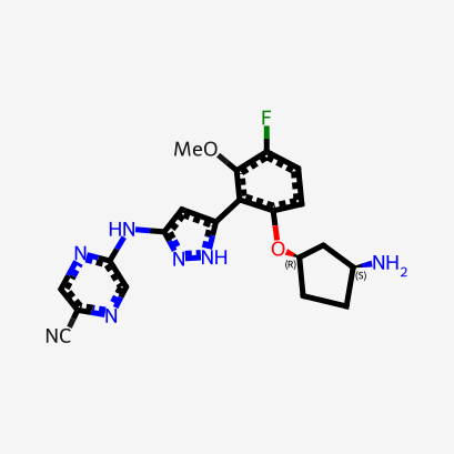 COc1c(F)ccc(O[C@@H]2CC[C@H](N)C2)c1-c1cc(Nc2cnc(C#N)cn2)n[nH]1